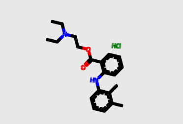 CCN(CC)CCOC(=O)c1ccccc1Nc1cccc(C)c1C.Cl